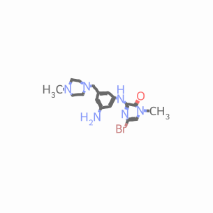 CN1CCN(Cc2cc(N)cc(Nc3nc(Br)cn(C)c3=O)c2)CC1